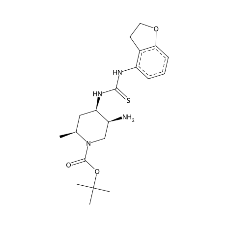 C[C@H]1C[C@@H](NC(=S)Nc2cccc3c2CCO3)[C@@H](N)CN1C(=O)OC(C)(C)C